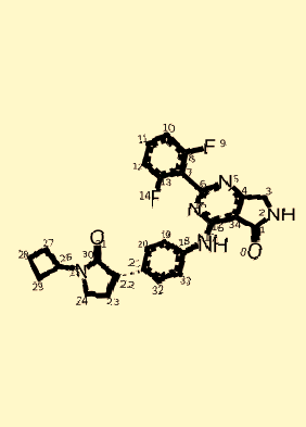 O=C1NCc2nc(-c3c(F)cccc3F)nc(Nc3ccc([C@@H]4CCN(C5CCC5)C4=O)cc3)c21